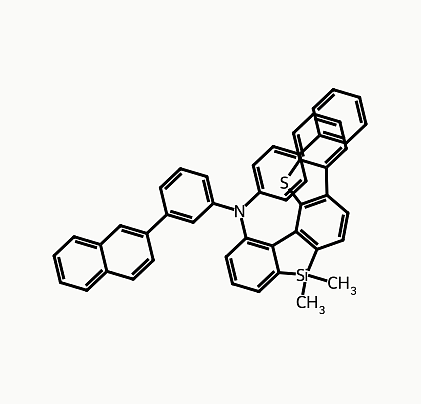 C[Si]1(C)c2cccc(N(c3ccc(-c4ccccc4)cc3)c3cccc(-c4ccc5ccccc5c4)c3)c2-c2c1ccc1c2sc2ccccc21